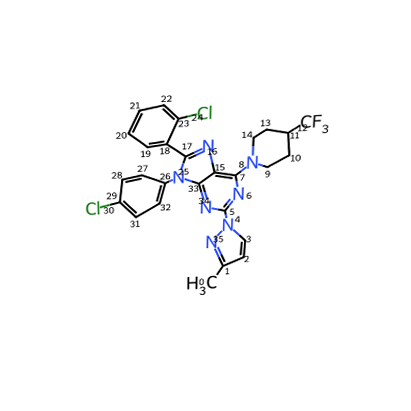 Cc1ccn(-c2nc(N3CCC(C(F)(F)F)CC3)c3nc(-c4ccccc4Cl)n(-c4ccc(Cl)cc4)c3n2)n1